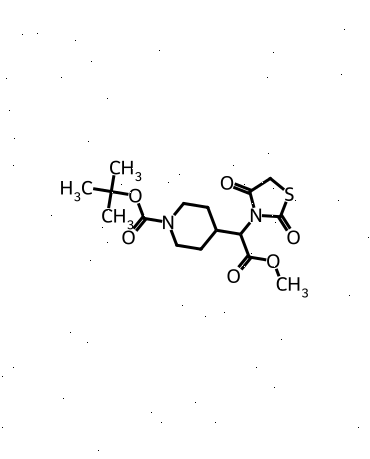 COC(=O)C(C1CCN(C(=O)OC(C)(C)C)CC1)N1C(=O)CSC1=O